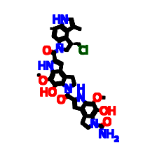 COc1c(O)c2c(c3cc(C(=O)N4CCc5c4c(O)c(OC)c4[nH]c(C(=O)N6C[C@@H](CCl)c7c6c[c]c6[nH]cc(C)c76)cc54)[nH]c13)CCN2C(N)=O